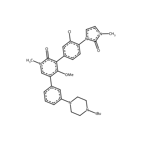 COc1c(-c2cccc(N3CCN(C(C)(C)C)CC3)c2)cn(C)c(=O)c1-c1ccc(-n2ccn(C)c2=O)c(Cl)c1